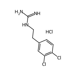 Cl.N=C(N)NCCc1ccc(Cl)c(Cl)c1